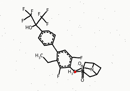 CCc1c(-c2ccc(C(O)(C(F)(F)F)C(F)(F)F)cc2)cc(F)c(CN2CC3CC(C2)N3S(C)(=O)=O)c1F